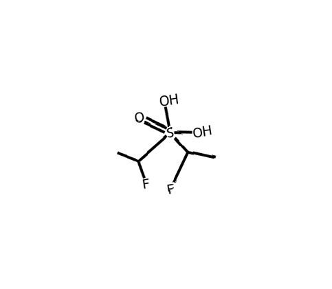 CC(F)S(=O)(O)(O)C(C)F